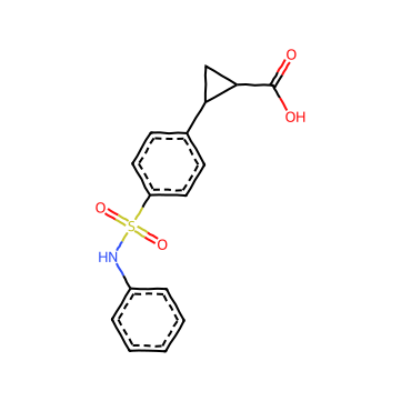 O=C(O)C1CC1c1ccc(S(=O)(=O)Nc2ccccc2)cc1